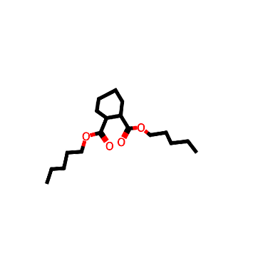 CCCCCOC(=O)C1CCCCC1C(=O)OCCCCC